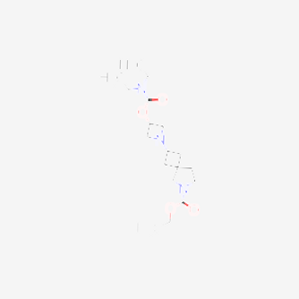 CCOC(=O)N1CCC2(CC(N3CC(OC(=O)N(CC)CC)C3)C2)C1